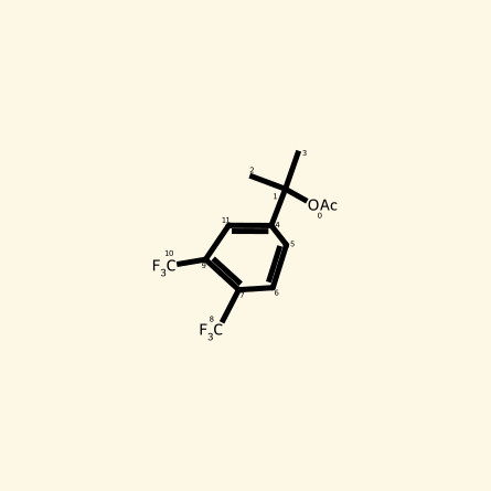 CC(=O)OC(C)(C)c1ccc(C(F)(F)F)c(C(F)(F)F)c1